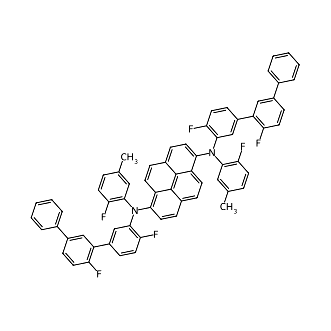 Cc1ccc(F)c(N(c2cc(-c3cc(-c4ccccc4)ccc3F)ccc2F)c2ccc3ccc4c(N(c5cc(C)ccc5F)c5cc(-c6cc(-c7ccccc7)ccc6F)ccc5F)ccc5ccc2c3c54)c1